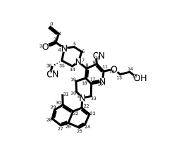 C=CC(=O)N1CCN(c2c(C#N)c(OCCO)nc3c2CCN(c2cccc4cccc(C)c24)C3)C[C@@H]1CC#N